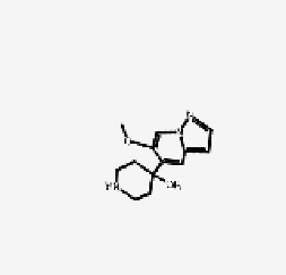 COc1cn2nccc2cc1C1(O)CCNCC1